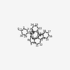 Cc1ccc(C(=O)n2ccc3ccc4c5ccccc5n(-c5ccccc5)c4c32)cc1